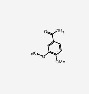 CCCCOc1cc(C(N)=O)ccc1OC